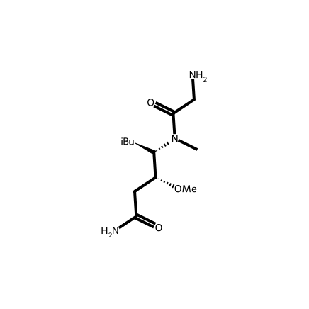 CC[C@H](C)[C@@H]([C@@H](CC(N)=O)OC)N(C)C(=O)CN